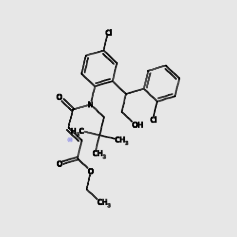 CCOC(=O)/C=C/C(=O)N(CC(C)(C)C)c1ccc(Cl)cc1C(CO)c1ccccc1Cl